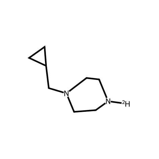 [2H]N1CCN(CC2CC2)CC1